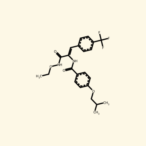 CCONC(=O)/C(=C/c1ccc(C(F)(F)F)cc1)NC(=O)c1ccc(OCC(C)C)cc1